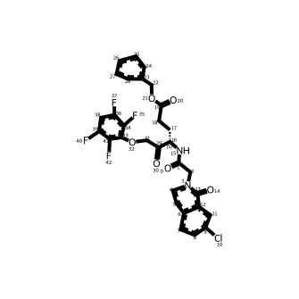 O=C(Cn1ccc2ccc(Cl)cc2c1=O)N[C@@H](CCC(=O)OCc1ccccc1)C(=O)COc1c(F)c(F)cc(F)c1F